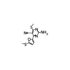 CSc1ccc(-c2nc(N)nc(SC)c2C#N)o1